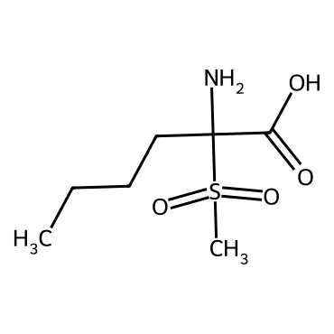 CCCCC(N)(C(=O)O)S(C)(=O)=O